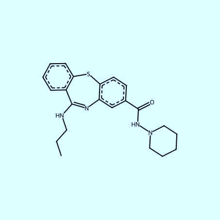 CCCNC1=Nc2cc(C(=O)NN3CCCCC3)ccc2Sc2ccccc21